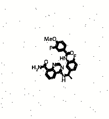 COc1ccc(C(=O)Nc2cc([C@@H](C)Nc3ncnc4c(C(N)=O)cccc34)ccc2F)cc1F